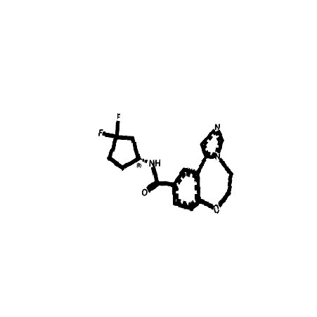 O=C(N[C@@H]1CCC(F)(F)C1)c1ccc2c(c1)-c1cncn1CCO2